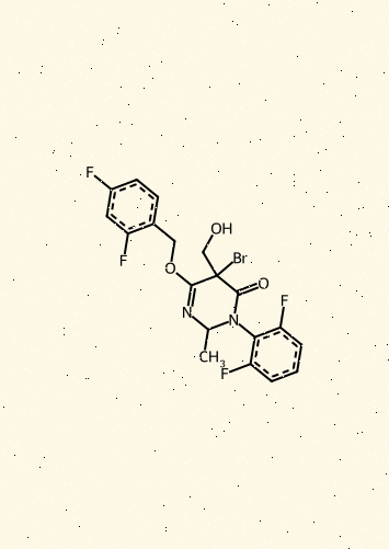 CC1N=C(OCc2ccc(F)cc2F)C(Br)(CO)C(=O)N1c1c(F)cccc1F